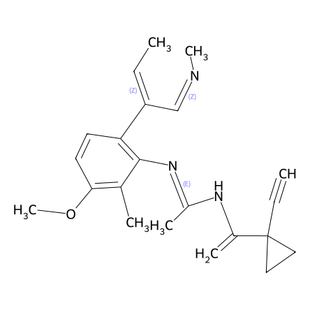 C#CC1(C(=C)N/C(C)=N/c2c(C(/C=N\C)=C/C)ccc(OC)c2C)CC1